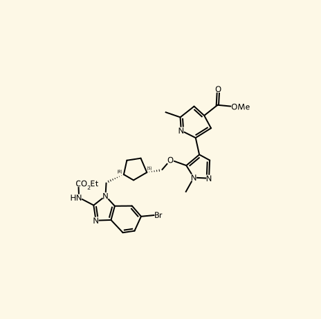 CCOC(=O)Nc1nc2ccc(Br)cc2n1C[C@@H]1CC[C@H](COc2c(-c3cc(C(=O)OC)cc(C)n3)cnn2C)C1